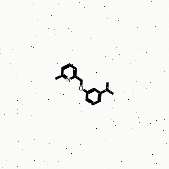 Cc1cccc(COc2cccc(C(C)C)c2)n1